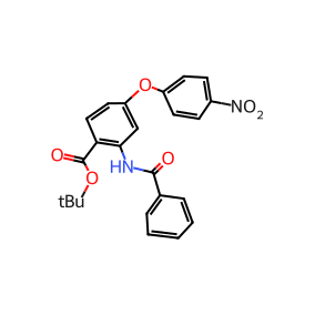 CC(C)(C)OC(=O)c1ccc(Oc2ccc([N+](=O)[O-])cc2)cc1NC(=O)c1ccccc1